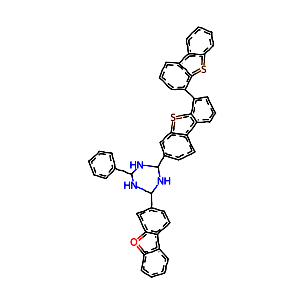 c1ccc(C2NC(c3ccc4c(c3)oc3ccccc34)NC(c3ccc4c(c3)sc3c(-c5cccc6c5sc5ccccc56)cccc34)N2)cc1